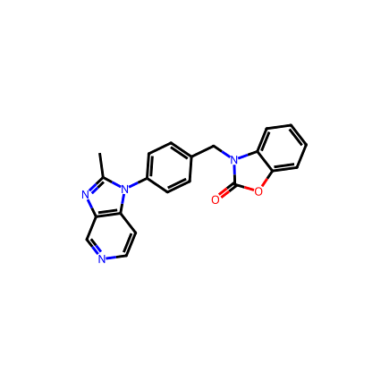 Cc1nc2cnccc2n1-c1ccc(Cn2c(=O)oc3ccccc32)cc1